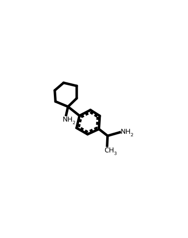 CC(N)c1ccc(C2(N)CCCCC2)cc1